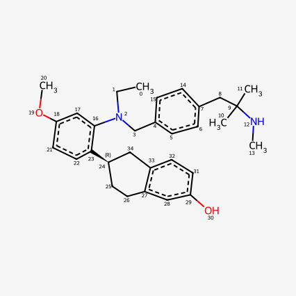 CCN(Cc1ccc(CC(C)(C)NC)cc1)c1cc(OC)ccc1[C@@H]1CCc2cc(O)ccc2C1